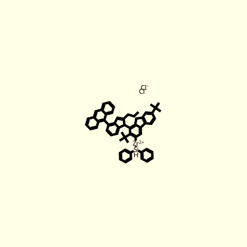 CCCC1=Cc2c(-c3c4ccccc4cc4ccccc34)cccc2C1c1c2c(c[c]([Zr+2][SiH](c3ccccc3)c3ccccc3)c1C(C)(C)C)-c1ccc(C(C)(C)C)cc1C2.[Cl-].[Cl-]